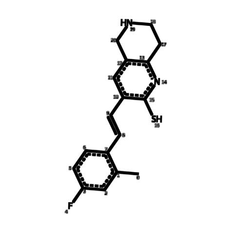 Cc1cc(F)ccc1/C=C/c1cc2c(nc1S)CCNC2